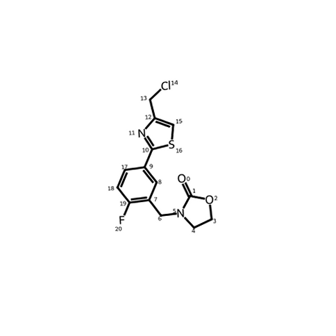 O=C1OCCN1Cc1cc(-c2nc(CCl)cs2)ccc1F